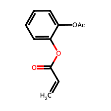 C=CC(=O)Oc1ccccc1OC(C)=O